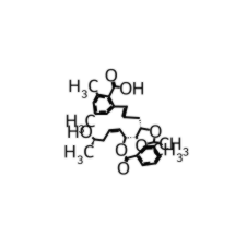 Cc1cc(C)c(C(=O)O)c(/C=C/C[C@@H]2OC(C)(C)O[C@@H]2C(/C=C\C[C@@H](C)O)OC(=O)c2ccccc2)c1